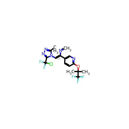 C=N/C(=C\n1c(C)nnc1C(F)(F)Cl)c1ccc(OC(C)(C)C(F)(F)F)nc1